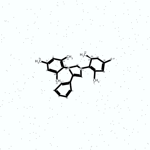 CC1=C(N2C=C(c3ccccc3)N(c3c(C)cc(C)cc3C)C2)[C@@H](C)CC(F)=C1